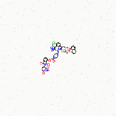 Cc1nn(C)c(C)c1-c1c(Cl)ccc2c(CCCOc3cccc4c3CCCC4)c(C(=O)O)n(CCN3CCN(C(=O)COc4cccc5c4C(=O)N(C4CCC(=O)NC4=O)C5=O)CC3)c12